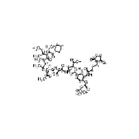 CC[C@H](C)[C@H](NC(=O)[C@H]1CCCCN1C)C(=O)N(C)[C@H](C[C@@H](OC(C)=O)c1nc(C(=O)N[C@@H](CCc2ccc(OC(=O)OP(=O)(O)O)c(NC(=O)CCCN3C(=O)C=CC3=O)c2)CC(C)C(=O)O)cs1)C(C)C